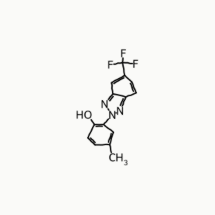 Cc1ccc(O)c(-n2nc3ccc(C(F)(F)F)cc3n2)c1